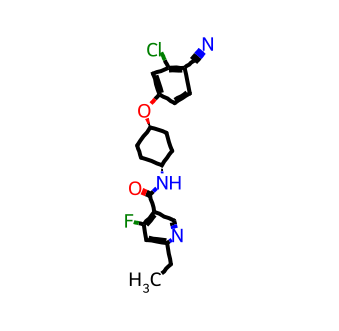 CCc1cc(F)c(C(=O)N[C@H]2CC[C@H](Oc3ccc(C#N)c(Cl)c3)CC2)cn1